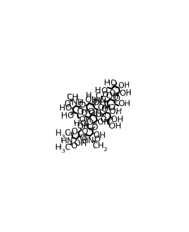 CC(=O)NC1C(O)[C@H](O)C(CO)O[C@H]1OC1C(O)[C@H](O)C(CO)O[C@@H]1OCC1O[C@@H](O[C@@H]2C(CO)O[C@@H](O[C@@H]3C(CO)O[C@@H](C)C(NC(C)=O)C3O)C(NC(C)=O)C2O)C(O)C(O[C@H]2OC(CO)[C@@H](O)C(O)C2O[C@@H]2OC(CO)[C@@H](O[C@@H]3OC(CO)[C@H](O)C(O)C3O)C(O)C2NC(C)=O)[C@@H]1O